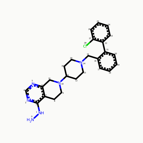 NNc1ncnc2c1CCN(C1CCN(Cc3ccccc3-c3ccccc3Cl)CC1)C2